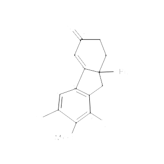 CCCCC12CCC(=O)C=C1c1cc(Cl)c(OC)c(F)c1C2